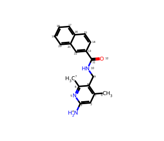 Cc1cc(N)nc(C)c1CNC(=O)c1ccc2ccccc2c1